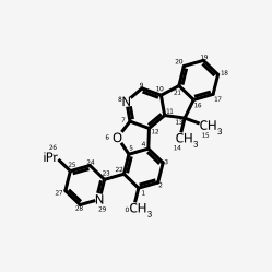 Cc1ccc2c(oc3ncc4c(c32)C(C)(C)c2ccccc2-4)c1-c1cc(C(C)C)ccn1